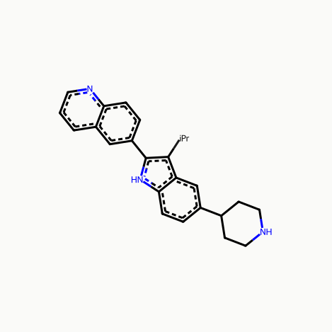 CC(C)c1c(-c2ccc3ncccc3c2)[nH]c2ccc(C3CCNCC3)cc12